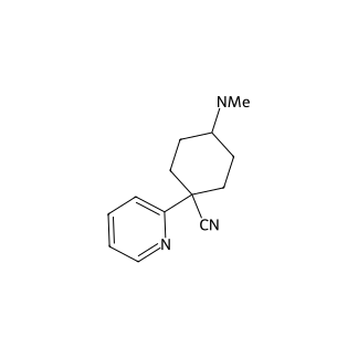 CNC1CCC(C#N)(c2ccccn2)CC1